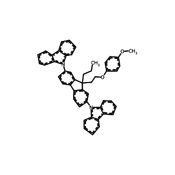 CCCC1(CCOc2ccc(OC)cc2)c2cc(-n3c4ccccc4c4ccccc43)ccc2-c2ccc(-n3c4ccccc4c4ccccc43)cc21